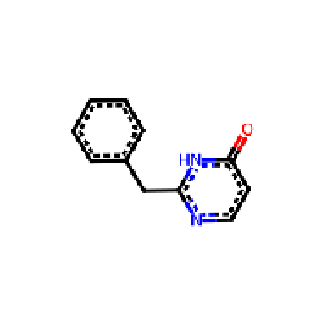 O=c1ccnc(Cc2ccccc2)[nH]1